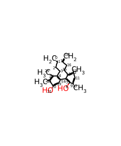 C=CCCc1c(-c2c(O)c(C)cc(C)c2CCC=C)cc(O)c(C)c1C